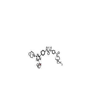 CN1CCN(C(=O)c2ccc(NC(=O)Nc3ccc(-c4nc(N5CCOCC5)nc(N5CC6CCC5CO6)n4)cc3)cc2)CC1